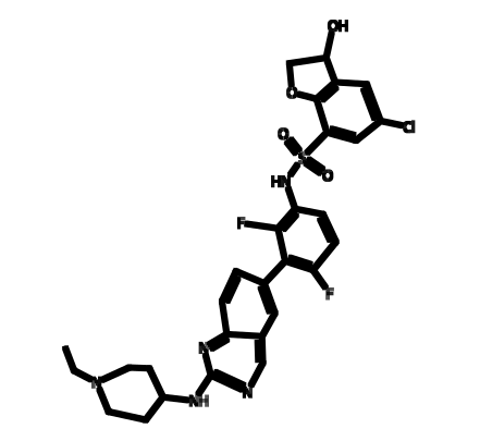 CCN1CCC(Nc2ncc3cc(-c4c(F)ccc(NS(=O)(=O)c5cc(Cl)cc6c5OCC6O)c4F)ccc3n2)CC1